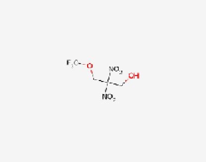 O=[N+]([O-])C(CO)(COC(F)(F)F)[N+](=O)[O-]